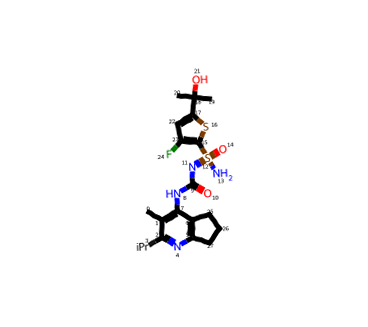 Cc1c(C(C)C)nc2c(c1NC(=O)N=S(N)(=O)c1sc(C(C)(C)O)cc1F)CCC2